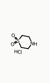 Cl.O=S1(=O)CCNCC1